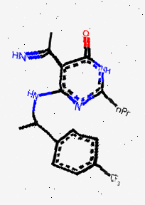 CCCc1nc(NC(C)c2ccc(C(F)(F)F)cc2)c(C(C)=N)c(=O)[nH]1